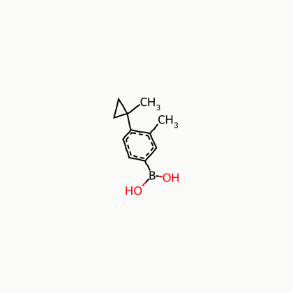 Cc1cc(B(O)O)ccc1C1(C)CC1